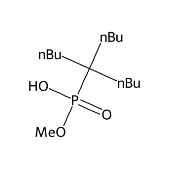 CCCCC(CCCC)(CCCC)P(=O)(O)OC